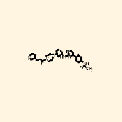 CC(=O)Nc1ccc(-c2ccnc(Nc3cccc(N4CCN(C(=O)CCc5cccnc5)CC4)c3)n2)cc1